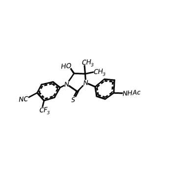 CC(=O)Nc1ccc(N2C(=S)N(c3ccc(C#N)c(C(F)(F)F)c3)C(O)C2(C)C)cc1